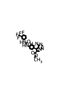 CCOC(=O)c1cn2ncnc(N)c2c1-c1ccc(NC(=O)Nc2ccc(F)c(C(F)(F)F)c2)cc1